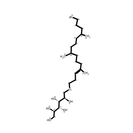 CC(=CCCOC[C@@H](O)[C@@H](O)[C@H](O)[C@H](O)CO)CCCC(C)CCCC(C)CCCC(C)C